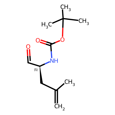 C=C(C)C[C@@H](C=O)NC(=O)OC(C)(C)C